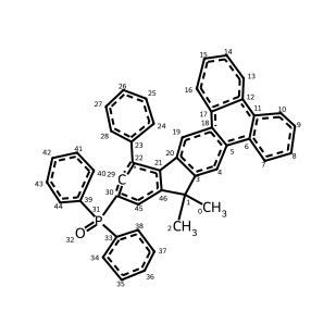 CC1(C)c2cc3c4ccccc4c4ccccc4c3cc2-c2c(-c3ccccc3)cc(P(=O)(c3ccccc3)c3ccccc3)cc21